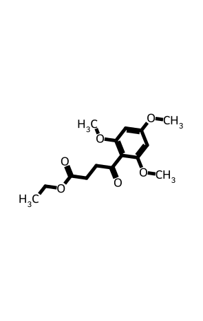 CCOC(=O)CCC(=O)c1c(OC)cc(OC)cc1OC